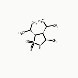 CC(C)[C@H]1[C@@H](C(C)C)S(=O)(=O)N[C@@H]1C